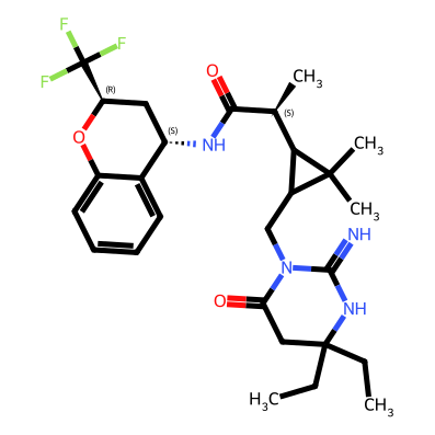 CCC1(CC)CC(=O)N(CC2C([C@H](C)C(=O)N[C@H]3C[C@H](C(F)(F)F)Oc4ccccc43)C2(C)C)C(=N)N1